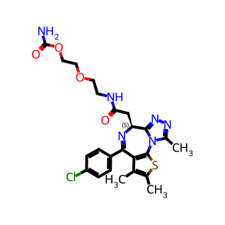 Cc1sc2c(c1C)C(c1ccc(Cl)cc1)=N[C@@H](CC(=O)NCCOCCOC(N)=O)c1nnc(C)n1-2